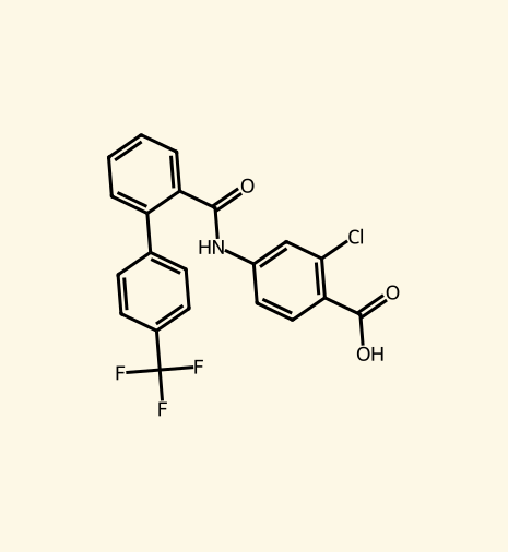 O=C(O)c1ccc(NC(=O)c2ccccc2-c2ccc(C(F)(F)F)cc2)cc1Cl